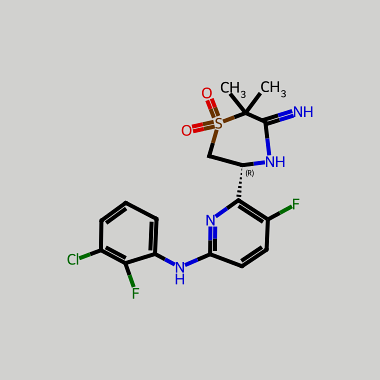 CC1(C)C(=N)N[C@H](c2nc(Nc3cccc(Cl)c3F)ccc2F)CS1(=O)=O